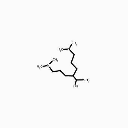 [CH2]C(O)C(CCCN(C)C)CCCN(C)C